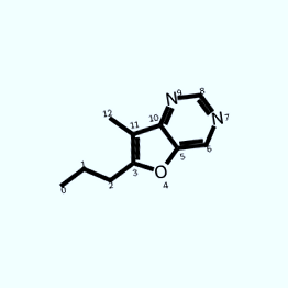 CCCc1oc2cncnc2c1C